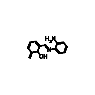 C=C1C=CC=C(C=Nc2ccccc2N)C1O